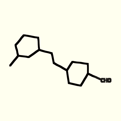 CC1CCCC(CCC2CCC(C=O)CC2)C1